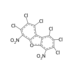 O=[N+]([O-])c1c(Cl)c(Cl)c(Cl)c2c1oc1c([N+](=O)[O-])c(Cl)c(Cl)c(Cl)c12